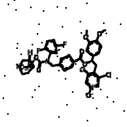 COc1ccc(C(Cc2c(Cl)c[n+]([O-])cc2Cl)OC(=O)c2ccc(CN(C(=O)O[C@H]3CN4CCC3CC4)c3cc(F)ccc3F)cc2)cc1OC